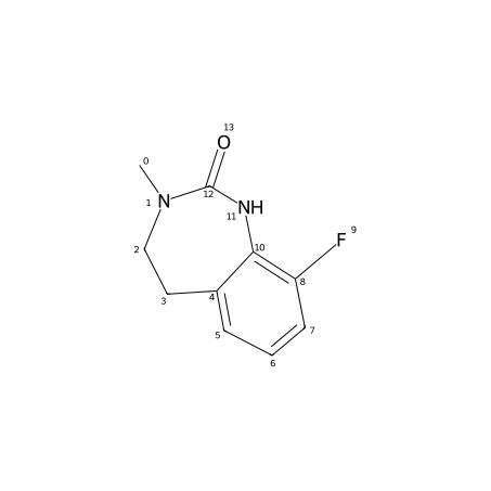 CN1CCc2cccc(F)c2NC1=O